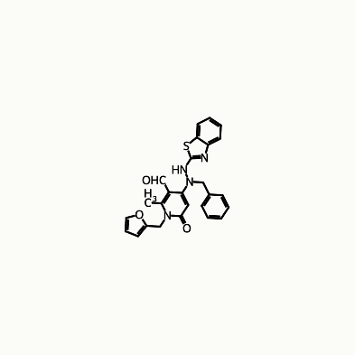 Cc1c(C=O)c(N(Cc2ccccc2)Nc2nc3ccccc3s2)cc(=O)n1Cc1ccco1